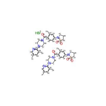 Br.Cc1cnc(N2CCN(C(=O)c3ccc(N4CCCS4(=O)=O)cc3C)CC2)c(C)c1.Cc1cnc(N2CCN(C(=O)c3ccc(N4CCCS4(=O)=O)cc3C)CC2)c(C)c1